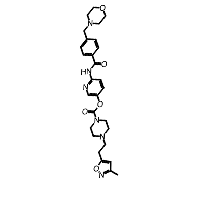 Cc1cc(CCN2CCN(C(=O)Oc3ccc(NC(=O)c4ccc(CN5CCOCC5)cc4)nc3)CC2)on1